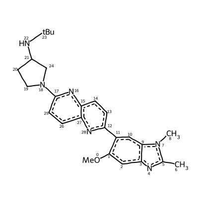 COc1cc2nc(C)n(C)c2cc1-c1ccc2nc(N3CCC(NC(C)(C)C)C3)ccc2n1